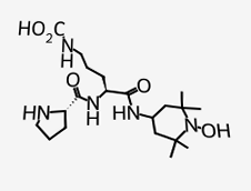 CC1(C)CC(NC(=O)[C@H](CCCNC(=O)O)NC(=O)[C@@H]2CCCN2)CC(C)(C)N1O